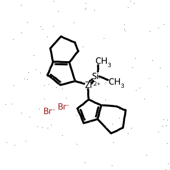 C[Si](C)=[Zr+2]([CH]1C=CC2=C1CCCC2)[CH]1C=CC2=C1CCCC2.[Br-].[Br-]